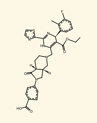 CCOC(=O)C1=C(CN2CC[C@H]3C(=O)N(c4ccc(C(=O)O)cc4)C[C@H]3C2)NC(c2nccs2)=N[C@H]1c1cccc(F)c1C